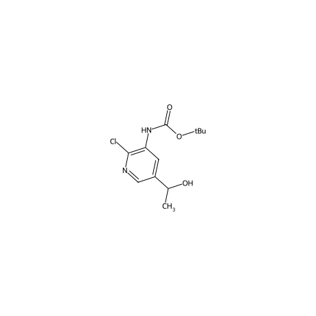 CC(O)c1cnc(Cl)c(NC(=O)OC(C)(C)C)c1